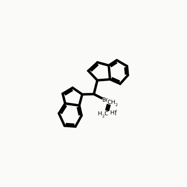 BrC(C1C=Cc2ccccc21)C1C=Cc2ccccc21.C=C.[Hf]